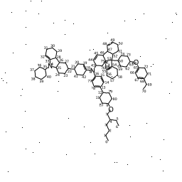 CCCCC(CC)COC1CCC(c2ccc(N(C3=CCC(C4CCC5C(C4)C4CCCC=C4N5C4CCCCC4)CC3)C3C=CC4C5C=CCCC5C(C5=CCCCC5)(C5CCC(OC6=CC=C(CC)CC6)CC5)[C@@H]4C3)cc2)CC1